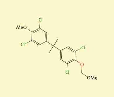 COCOc1c(Cl)cc(C(C)(C)c2cc(Cl)c(OC)c(Cl)c2)cc1Cl